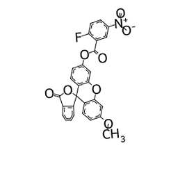 COc1ccc2c(c1)Oc1cc(OC(=O)c3cc([N+](=O)[O-])ccc3F)ccc1C21OC(=O)c2ccccc21